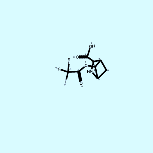 O=C(O)C1NC2CC1C2OC(=O)C(F)(F)F